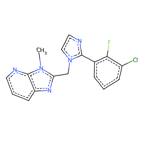 Cn1c(Cn2ccnc2-c2cccc(Cl)c2F)nc2cccnc21